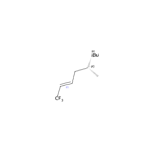 CC[C@@H](C)[C@H](C)C/C=C/C(F)(F)F